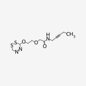 CCC#CCNC(=O)COCCOC1N=NCSS1